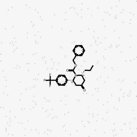 CCC[C@@H]1CC(=O)C[C@H](c2ccc(C(F)(F)F)cc2)N1C(=O)OCc1ccccc1